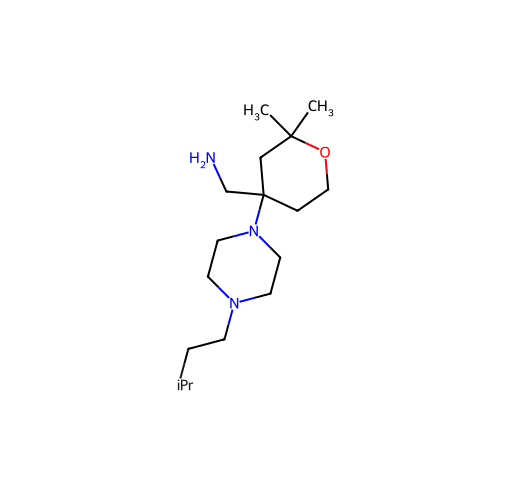 CC(C)CCN1CCN(C2(CN)CCOC(C)(C)C2)CC1